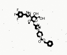 CO[C@@H]1[C@@H](n2cc(-c3cc(F)c(F)c(F)c3)nn2)[C@@H](O)[C@@H](CO)O[C@@H]1Cc1cn(C2CCN(C(=O)OCc3ccccc3)CC2)nn1